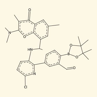 Cc1cc(C(C)Nc2ccc(Cl)nc2-c2ccc(B3OC(C)(C)C(C)(C)O3)c(C=O)c2)c2oc(N(C)C)c(C)c(=O)c2c1